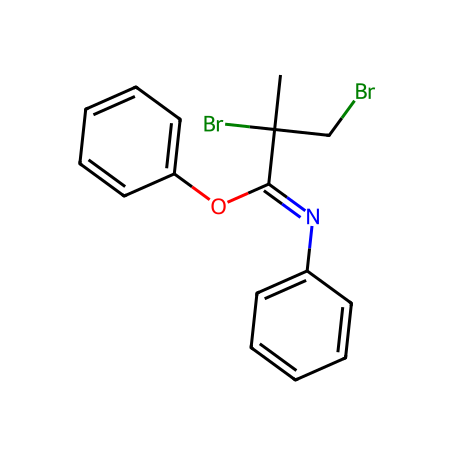 CC(Br)(CBr)/C(=N/c1ccccc1)Oc1ccccc1